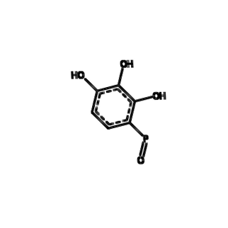 O=Pc1ccc(O)c(O)c1O